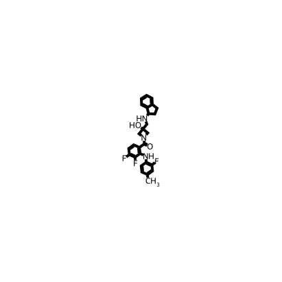 Cc1ccc(Nc2c(C(=O)N3CC(O)(CNC4CCc5ccccc54)C3)ccc(F)c2F)c(F)c1